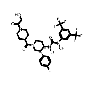 CN(C(=O)N(C)[C@@H]1CCN(C(=O)C2CCN(C(=O)CO)CC2)C[C@H]1c1ccc(F)cc1)c1cc(C(F)(F)F)cc(C(F)(F)F)c1